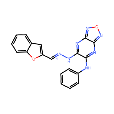 C(=N\Nc1nc2nonc2nc1Nc1ccccc1)/c1cc2ccccc2o1